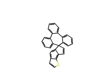 C1=CC2(c3ccccc3-c3ccccc3-c3ccccc32)c2ccc3ccsc3c21